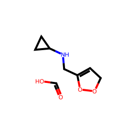 C1=C(CNC2CC2)OOC1.O=CO